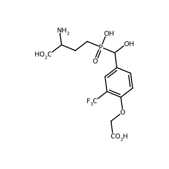 NC(CCP(=O)(O)C(O)c1ccc(OCC(=O)O)c(C(F)(F)F)c1)C(=O)O